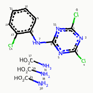 Clc1nc(Cl)nc(Nc2ccccc2Cl)n1.NC(=O)O.NC(=O)O.NC(=O)O